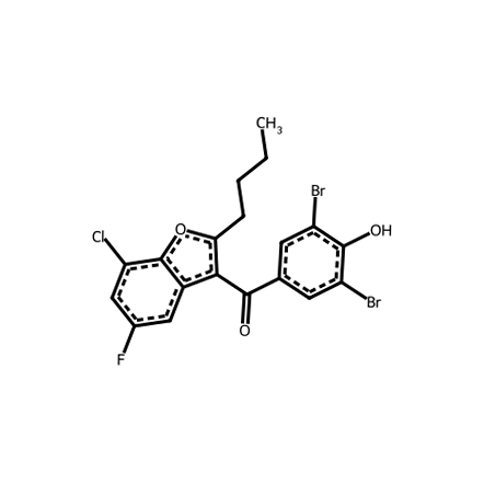 CCCCc1oc2c(Cl)cc(F)cc2c1C(=O)c1cc(Br)c(O)c(Br)c1